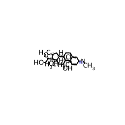 C/N=C1\C=C[C@@]2(C)C(=C1)CC[C@H]1[C@@H]3C[C@H](C)[C@](O)(C(=O)CO)[C@@]3(C)C[C@H](O)[C@@]12Cl